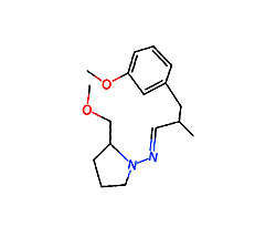 COCC1CCCN1N=CC(C)Cc1cccc(OC)c1